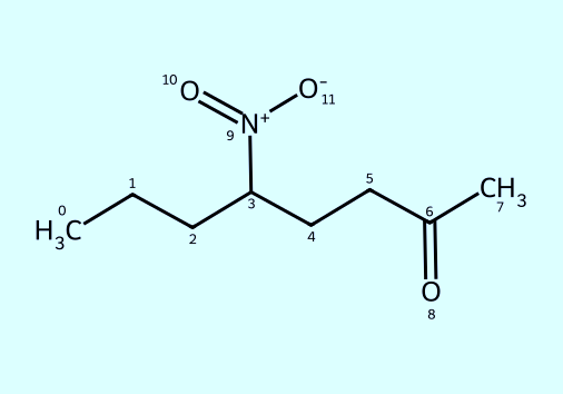 CCCC(CCC(C)=O)[N+](=O)[O-]